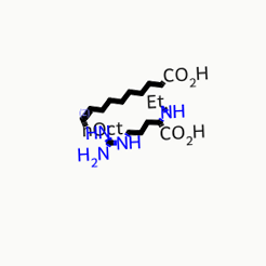 CCCCCCCC/C=C\CCCCCCCC(=O)O.CCNC(CCCNC(=N)N)C(=O)O